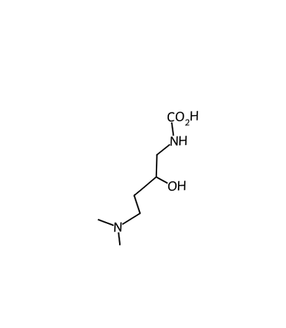 CN(C)CCC(O)CNC(=O)O